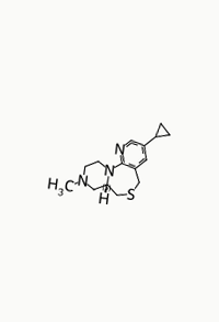 CN1CCN2c3ncc(C4CC4)cc3CSC[C@@H]2C1